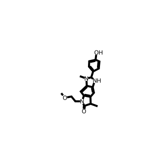 COCCN1C(=O)C(C)c2cc3c(cc21)N(C)C(c1ccc(O)cc1)N3